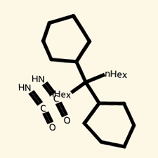 CCCCCCC(CCCCCC)(C1CCCCC1)C1CCCCC1.N=C=O.N=C=O